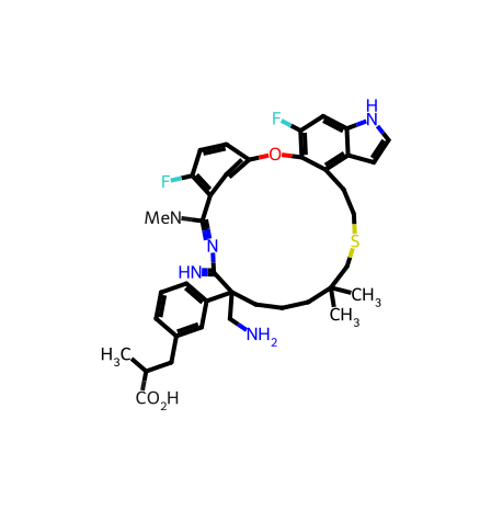 CN/C1=N\C(=N)C(CN)(c2cccc(CC(C)C(=O)O)c2)CCCC(C)(C)CSCCc2c(c(F)cc3[nH]ccc23)Oc2ccc(F)c1c2